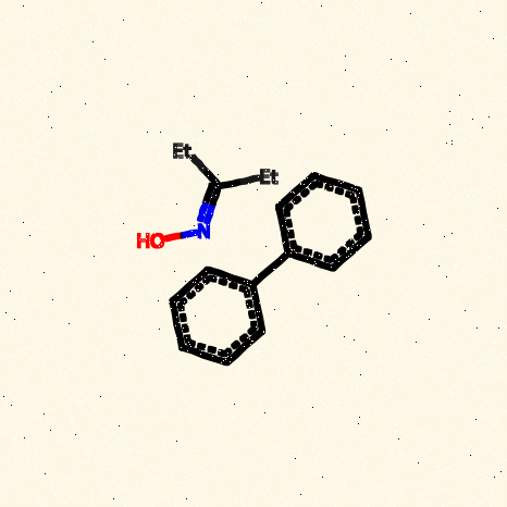 CCC(CC)=NO.c1ccc(-c2ccccc2)cc1